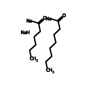 CCCCCCC[C](=O)[Na].CCCCC[C](=O)[Na].[NaH]